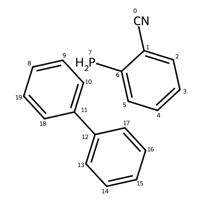 N#Cc1ccccc1P.c1ccc(-c2ccccc2)cc1